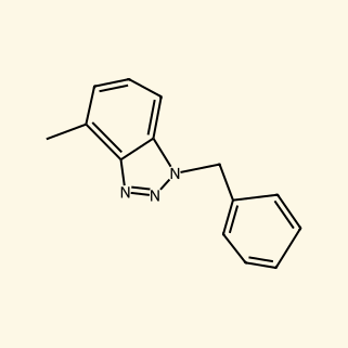 Cc1cccc2c1nnn2Cc1ccccc1